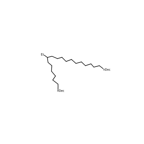 [CH2]CC(CCCCCCCCCCCCCCCC)CCCCCCCCCCCCCCCCCCCCC